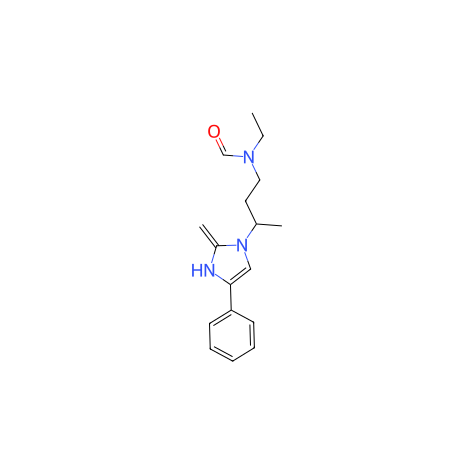 C=C1NC(c2ccccc2)=CN1C(C)CCN(C=O)CC